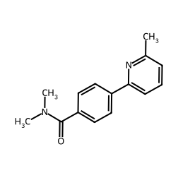 Cc1cccc(-c2ccc(C(=O)N(C)C)cc2)n1